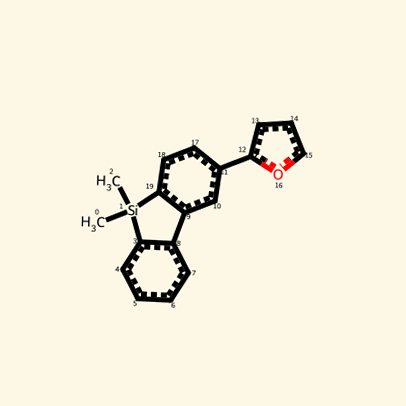 C[Si]1(C)c2ccccc2-c2cc(-c3ccco3)ccc21